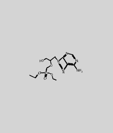 CCOP(=O)(COC(CO)Cn1cnc2c(N)ncnc21)OCC